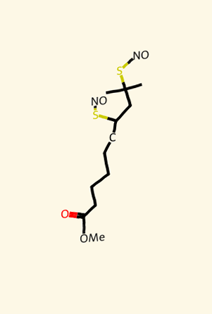 COC(=O)CCCCCC(CC(C)(C)SN=O)SN=O